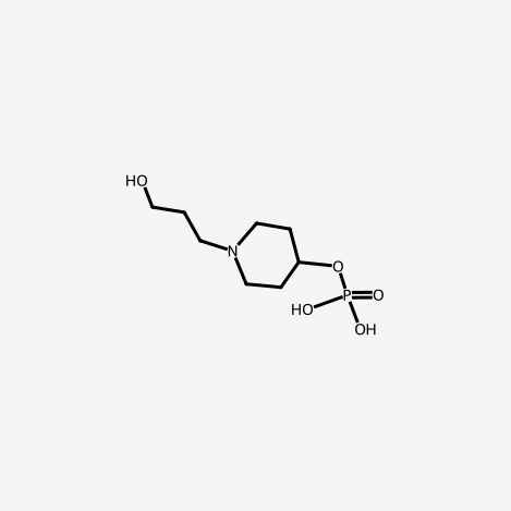 O=P(O)(O)OC1CCN(CCCO)CC1